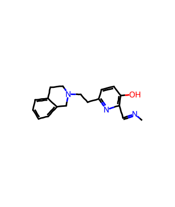 C/N=C/c1nc(CCN2CCc3ccccc3C2)ccc1O